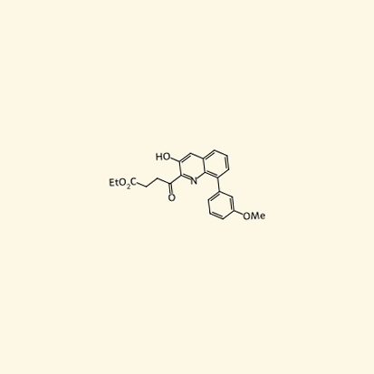 CCOC(=O)CCC(=O)c1nc2c(-c3cccc(OC)c3)cccc2cc1O